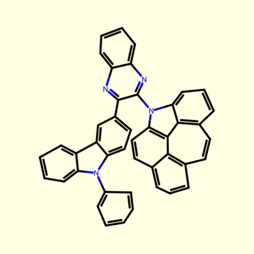 C1=Cc2cccc3c2c2c4c1cccc4ccc2n3-c1nc2ccccc2nc1-c1ccc2c(c1)c1ccccc1n2-c1ccccc1